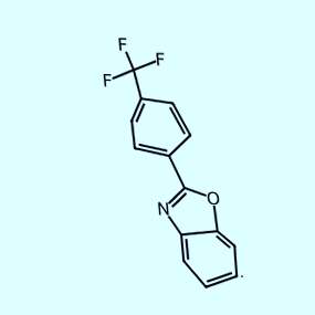 FC(F)(F)c1ccc(-c2nc3cc[c]cc3o2)cc1